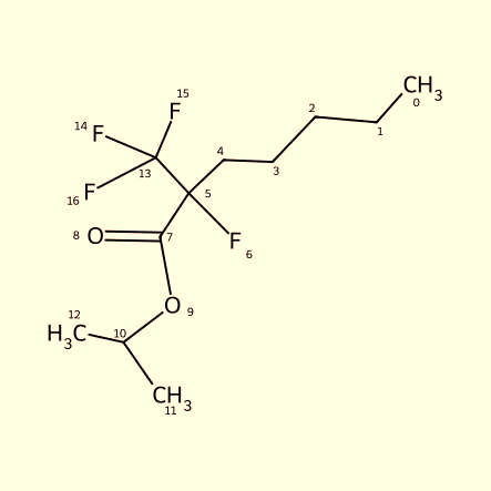 CCCCCC(F)(C(=O)OC(C)C)C(F)(F)F